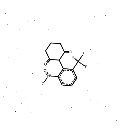 O=C1CCCC(=O)C1c1c([N+](=O)[O-])cccc1C(F)(F)F